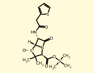 CC1(C)[C@H](C(=O)O[Si](C)(C)C)N2C(=O)[C@@H](NC(=O)Cc3cccs3)[C@H]2[S@@+]1[O-]